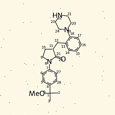 COC(C)(C)c1ccc(N2CCC(Cc3ccccc3N3CCNCC3)C2=O)cc1